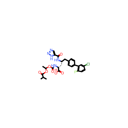 CC(OC(=O)N[C@H](C[C@@H](Cc1ccc(-c2cc(Cl)ccc2F)cc1)NC(=O)c1cnn[nH]1)C(=O)O)OC(=O)C(C)C